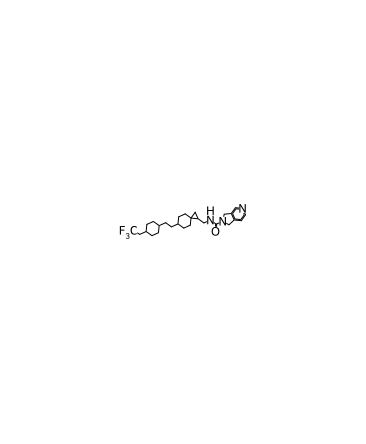 O=C(NCC1CC12CCC(CCC1CCC(CC(F)(F)F)CC1)CC2)N1Cc2ccncc2C1